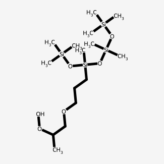 CC(COCCC[Si](C)(O[Si](C)(C)C)O[Si](C)(C)O[Si](C)(C)C)OO